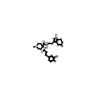 CN1CCC(NC(=O)/C=C/c2ccc(F)c(Br)c2)(C(=O)NCCc2c[nH]c3c2C=C(F)CC3)CC1